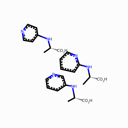 C[C@H](Nc1ccccn1)C(=O)O.C[C@H](Nc1cccnc1)C(=O)O.C[C@H](Nc1ccncc1)C(=O)O